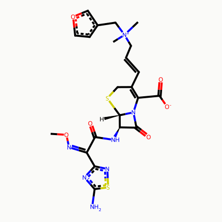 CO/N=C(\C(=O)N[C@@H]1C(=O)N2C(C(=O)[O-])=C(/C=C/C[N+](C)(C)Cc3ccoc3)CS[C@@H]12)c1nsc(N)n1